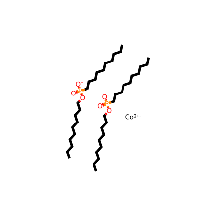 CCCCCCCCCCOP(=O)([O-])CCCCCCCCCC.CCCCCCCCCCOP(=O)([O-])CCCCCCCCCC.[Co+2]